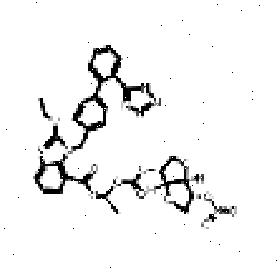 CCOc1nc2cccc(C(=O)O[C@H](C)OC(=O)O[C@H]3CO[C@H]4[C@@H]3OC[C@H]4O[N+](=O)[O-])c2n1Cc1ccc(-c2ccccc2-c2nnn[nH]2)cc1